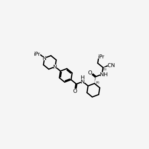 CC(C)C[C@@H](C#N)NC(=O)[C@@H]1CCCCC1NC(=O)c1ccc(N2CCN(C(C)C)CC2)cc1